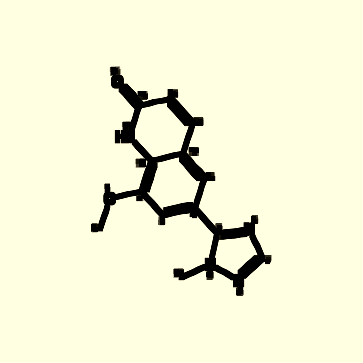 COc1cc(-c2ncnn2C)cc2ccc(=O)[nH]c12